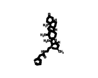 CC1=C2CC3[C@@H](CC[C@@H]4CC(=O)CC[C@]34C)[C@@H]2CC[C@@]2(C1)O[C@@H]1C[C@H](C)CN(CCNC(=O)Cc3ccccc3)C1[C@H]2C